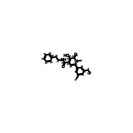 Cn1c(-c2cc(F)cc(CF)c2)cc(C(=O)NCCc2ccccc2)c(O)c1=O